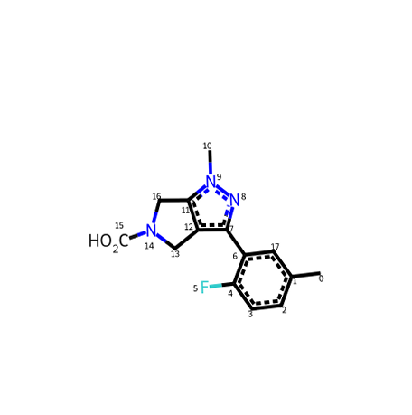 Cc1ccc(F)c(-c2nn(C)c3c2CN(C(=O)O)C3)c1